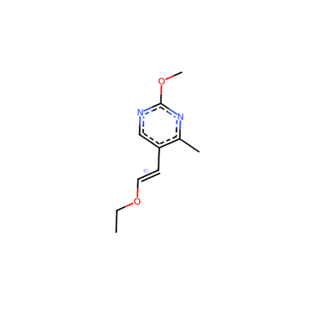 CCO/C=C/c1cnc(OC)nc1C